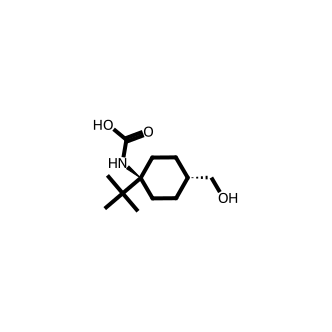 CC(C)(C)[C@]1(NC(=O)O)CC[C@H](CO)CC1